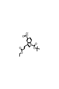 CCOC(=O)C=Cc1cn(C(=O)OC(C)(C)C)c2ccc([N+](=O)[O-])cc12